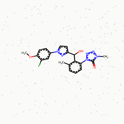 COc1ccc(-n2ccc(C(O)c3c(C)cccc3-n3nnn(C)c3=O)n2)cc1F